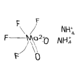 [NH4+].[NH4+].[O]=[Mo-2](=[O])([F])([F])([F])[F]